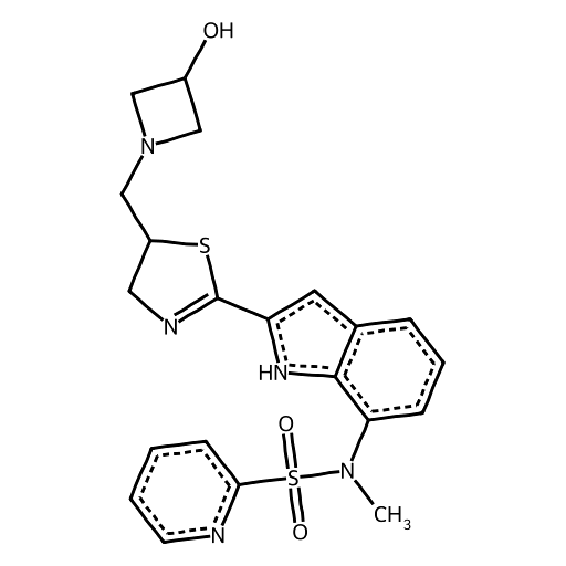 CN(c1cccc2cc(C3=NCC(CN4CC(O)C4)S3)[nH]c12)S(=O)(=O)c1ccccn1